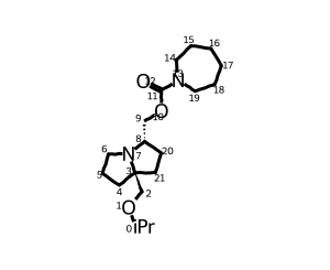 CC(C)OC[C@@]12CCCN1[C@H](COC(=O)N1CCCCCC1)CC2